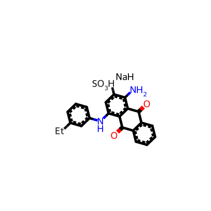 CCc1cccc(Nc2cc(S(=O)(=O)O)c(N)c3c2C(=O)c2ccccc2C3=O)c1.[NaH]